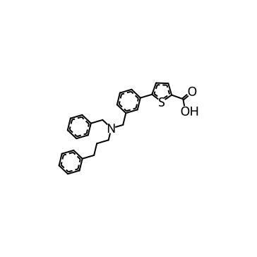 O=C(O)c1ccc(-c2cccc(CN(CCCc3ccccc3)Cc3ccccc3)c2)s1